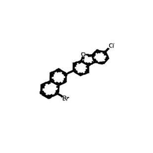 Clc1ccc2c(c1)oc1cc(-c3ccc4cccc(Br)c4c3)ccc12